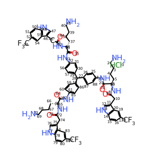 Cl.NCCCC[C@@H](NC(=O)Cc1c[nH]c2ccc(C(F)(F)F)cc12)C(=O)Nc1ccc(C(c2ccc(NC(=O)[C@@H](CCCCN)NC(=O)Cc3c[nH]c4ccc(C(F)(F)F)cc34)cc2)c2ccc(NC(=O)[C@@H](CCCCN)NC(=O)Cc3c[nH]c4ccc(C(F)(F)F)cc34)cc2)cc1